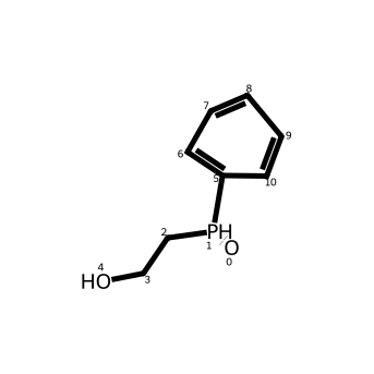 O=[PH](CCO)c1ccccc1